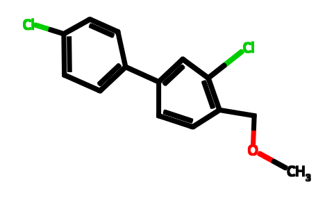 COCc1ccc(-c2ccc(Cl)cc2)cc1Cl